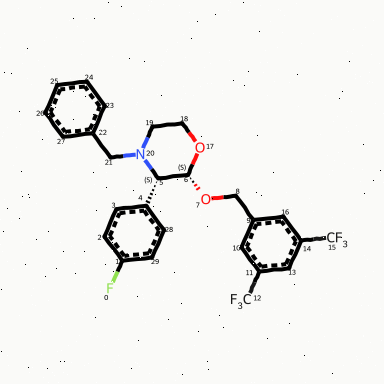 Fc1ccc([C@H]2[C@@H](OCc3cc(C(F)(F)F)cc(C(F)(F)F)c3)OCCN2Cc2ccccc2)cc1